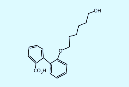 O=C(O)c1ccccc1-c1ccccc1OCCCCCCO